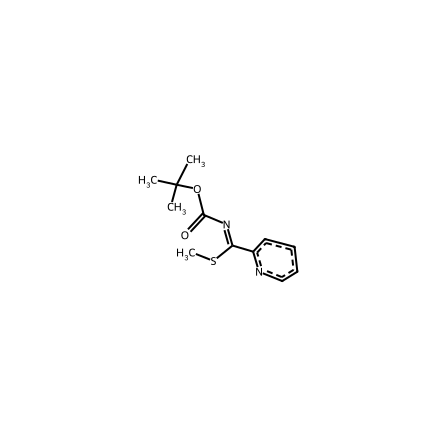 CSC(=NC(=O)OC(C)(C)C)c1ccccn1